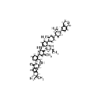 C=CC(=O)Nc1cc(Nc2nc(-c3ccnc(N4CCn5c(cc6c5CC(C)(C)C6)C4=O)c3CO)cn(C)c2=O)ccc1N1CCN(C2CCN(c3ccc4c(c3)CCOC4)[C@H](C)C2)C[C@@H]1C